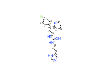 N=C(NCCCc1cnc[nH]1)NCCC(c1ccc(F)cc1)c1ccccn1